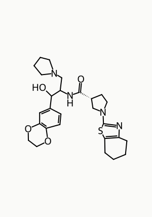 O=C(NC(CN1CCCC1)C(O)c1ccc2c(c1)OCCO2)[C@@H]1CCN(c2nc3c(s2)CCCC3)C1